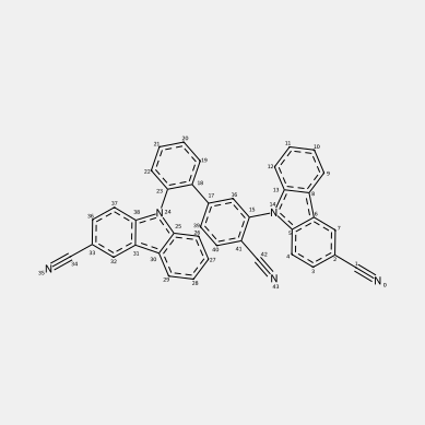 N#Cc1ccc2c(c1)c1ccccc1n2-c1cc(-c2ccccc2-n2c3ccccc3c3cc(C#N)ccc32)ccc1C#N